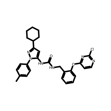 Cc1ccc(-n2nc(C3CCCCC3)cc2NC(=O)NCc2ccccc2Oc2ccnc(Cl)n2)cc1